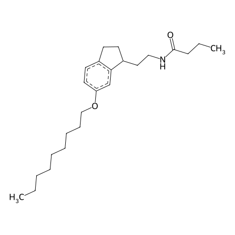 CCCCCCCCCOc1ccc2c(c1)C(CCNC(=O)CCC)CC2